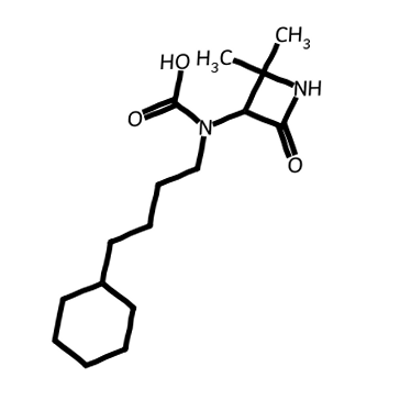 CC1(C)NC(=O)C1N(CCCCC1CCCCC1)C(=O)O